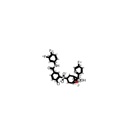 C[C@H]1CC2CC(S(=O)(=O)c3cc(C(=O)Nc4ccc(F)c(F)c4)ccc3Cl)CC1[C@@]2(O)[C@@H](O)c1ccc(F)cn1